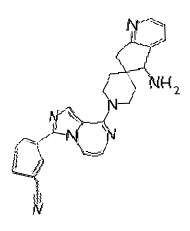 N#Cc1cccc(-c2ncc3c(N4CCC5(CC4)Cc4ncccc4C5N)nccn23)c1